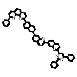 c1ccc(-c2cc(-c3ccc4ccc(-c5ccc6ccc(-c7ccc8cc(-c9ccc%10ccc%11ccc(-c%12ccccc%12)nc%11c%10n9)ccc8c7)cc6n5)cc4n3)nc(-c3ccccc3)n2)cc1